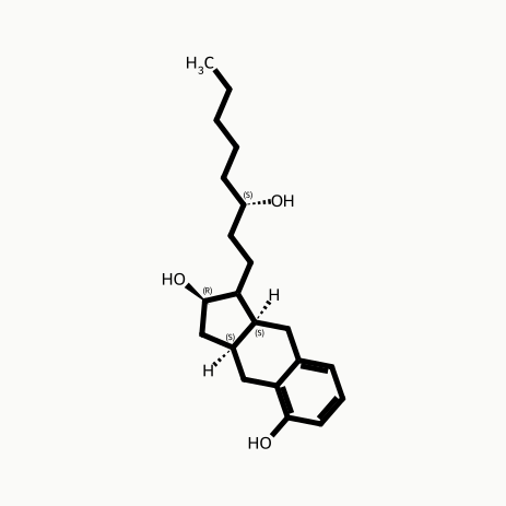 CCCCC[C@H](O)CCC1[C@H](O)C[C@@H]2Cc3c(O)cccc3C[C@H]12